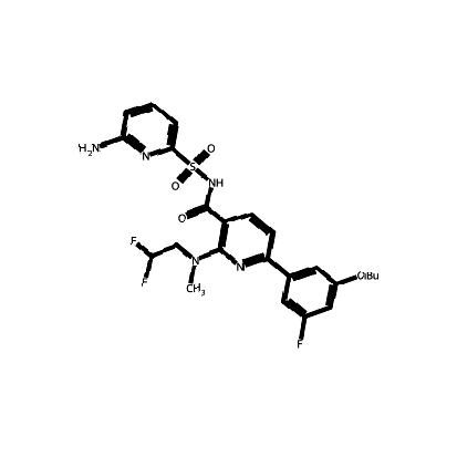 CC(C)COc1cc(F)cc(-c2ccc(C(=O)NS(=O)(=O)c3cccc(N)n3)c(N(C)CC(F)F)n2)c1